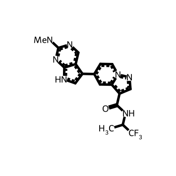 CNc1ncc2c(-c3ccn4ncc(C(=O)NC(C)C(F)(F)F)c4c3)c[nH]c2n1